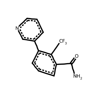 NC(=O)c1cccc(-c2cccnc2)c1C(F)(F)F